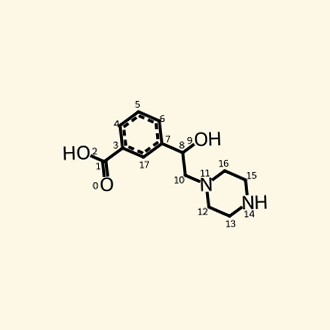 O=C(O)c1cccc(C(O)CN2CCNCC2)c1